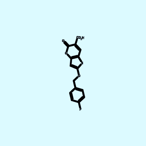 O=C(O)c1cc2sc(OCc3ccc(F)cc3)cc2oc1=O